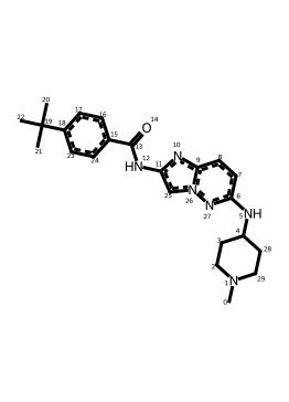 CN1CCC(Nc2ccc3nc(NC(=O)c4ccc(C(C)(C)C)cc4)cn3n2)CC1